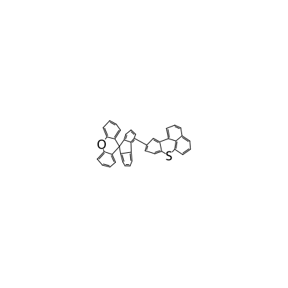 c1ccc2c(c1)Oc1ccccc1C21c2ccccc2-c2c(-c3ccc4c(c3)-c3cccc5cccc(c35)S4)cccc21